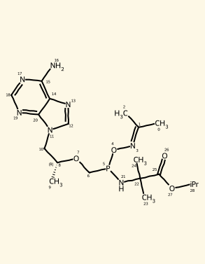 CC(C)=NOP(CO[C@H](C)Cn1cnc2c(N)ncnc21)NC(C)(C)C(=O)OC(C)C